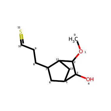 COC1C(O)C2CC(CCC=S)C1C2